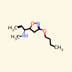 C=C[C@H](NC)C1CC(OCCCC)=NO1